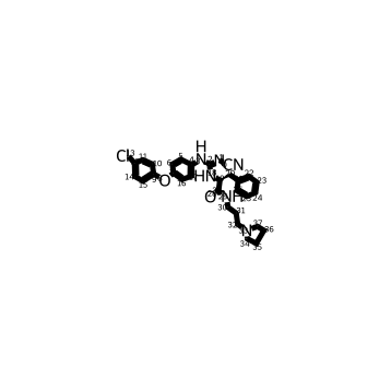 N#C/N=C(/Nc1ccc(Oc2ccc(Cl)cc2)cc1)N[C@@H](Cc1ccccc1)C(=O)NCCCN1CCCC1